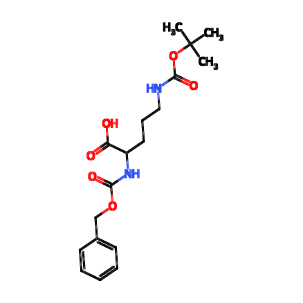 CC(C)(C)OC(=O)NCCCC(NC(=O)OCc1ccccc1)C(=O)O